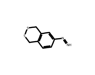 N=Nc1ccc2c(c1)CSSC2